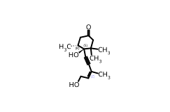 C/C(C#C[C@]1(O)[C@H](C)CC(=O)CC1(C)C)=C/CO